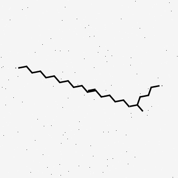 [CH2]CCCCCCCCCC=CCCCCCC(C)CCC[CH2]